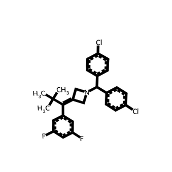 CC(C)(C)C(=C1CN(C(c2ccc(Cl)cc2)c2ccc(Cl)cc2)C1)c1cc(F)cc(F)c1